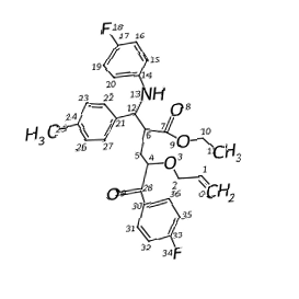 C=CCOC(CC(C(=O)OCC)C(Nc1ccc(F)cc1)c1ccc(C)cc1)C(=O)c1ccc(F)cc1